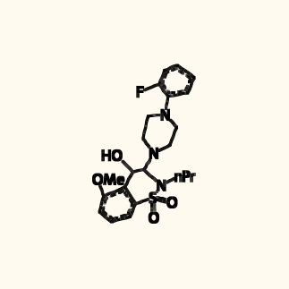 CCCN1C(N2CCN(c3ccccc3F)CC2)C(O)c2c(OC)cccc2S1(=O)=O